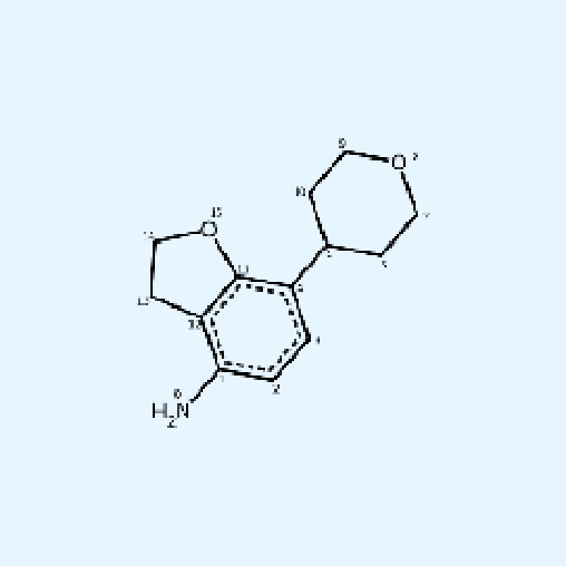 Nc1ccc(C2CCOCC2)c2c1CCO2